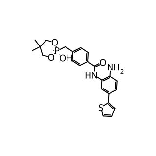 CC1(C)CO[P](O)(Cc2ccc(C(=O)Nc3cc(-c4cccs4)ccc3N)cc2)OC1